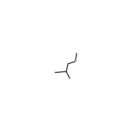 C[P]CC(C)C